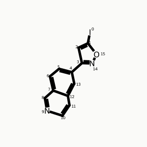 Ic1cc(-c2ccc3cnccc3c2)no1